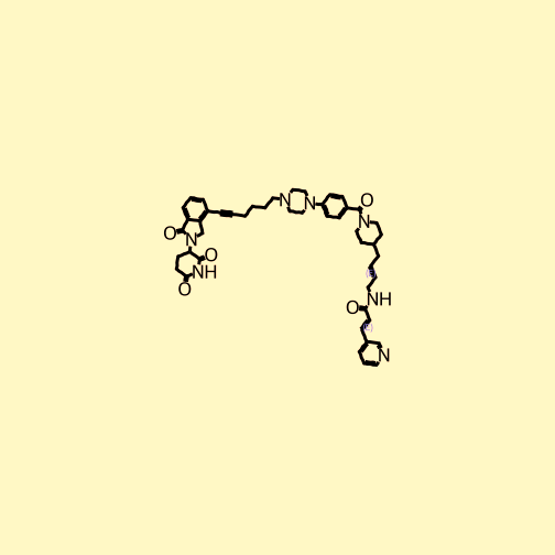 O=C(/C=C/c1cccnc1)NC/C=C/CC1CCN(C(=O)c2ccc(N3CCN(CCCCC#Cc4cccc5c4CN(C4CCC(=O)NC4=O)C5=O)CC3)cc2)CC1